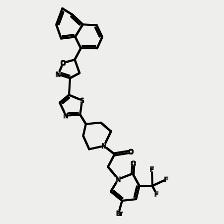 O=C(Cn1cc(Br)cc(C(F)(F)F)c1=O)N1CCC(c2ncc(C3=NOC(c4cccc5ccccc45)C3)s2)CC1